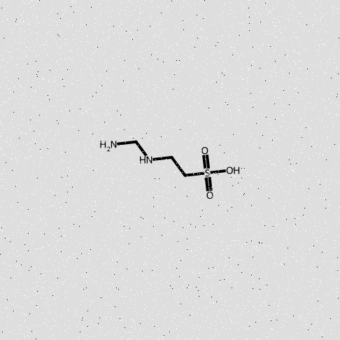 NCNCCS(=O)(=O)O